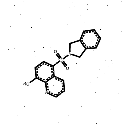 O=S(=O)(c1ccc(O)c2ncccc12)N1Cc2ccccc2C1